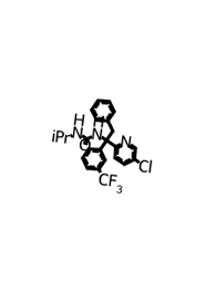 CC(C)NC(=O)NC(Cc1ccccc1)(c1cccc(C(F)(F)F)c1)c1ccc(Cl)cn1